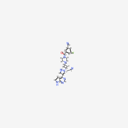 N#CC[C@]1(n2cc(-c3ncnc4[nH]ccc34)cn2)C[C@@H](N2CCN(C(=O)c3cc(F)cc(C#N)c3)CC2)C1